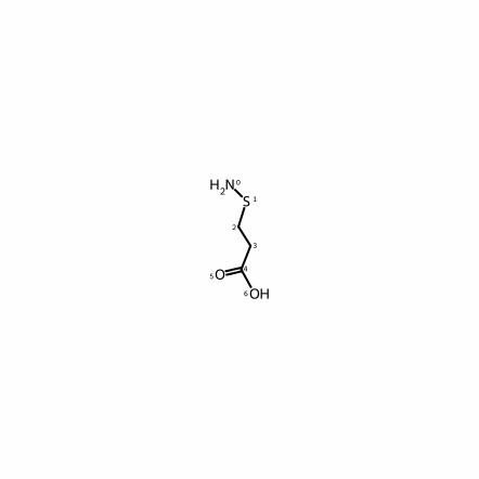 NSCCC(=O)O